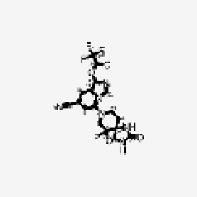 CC1(C)CN(c2cc(C#N)cc3c(OC(=O)C(F)(F)F)ncn23)CCC12NC(=O)NC2=O